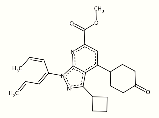 C=C/C=C(\C=C/C)n1nc(C2CCC2)c2c(C3CCC(=O)CC3)cc(C(=O)OC)nc21